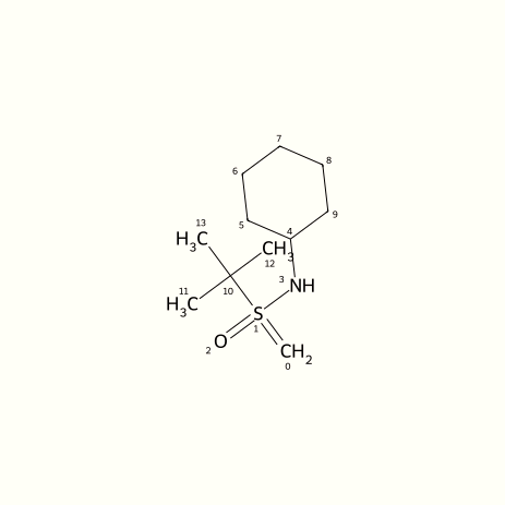 C=S(=O)(NC1CCCCC1)C(C)(C)C